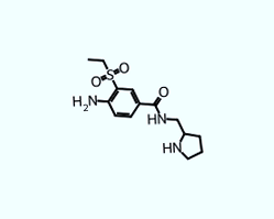 CCS(=O)(=O)c1cc(C(=O)NCC2CCCN2)ccc1N